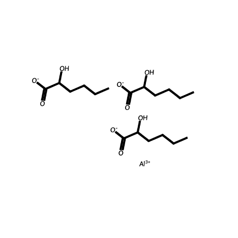 CCCCC(O)C(=O)[O-].CCCCC(O)C(=O)[O-].CCCCC(O)C(=O)[O-].[Al+3]